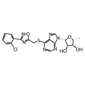 C[C@H]1O[C@@H](n2cnc3c(SCc4nc(-c5ccccc5Cl)no4)ncnc32)[C@H](O)[C@@H]1O